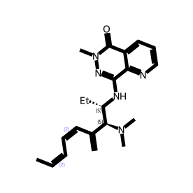 C=C(/C=C\C=C/C)[C@@H]([C@H](CC)Nc1nn(C)c(=O)c2cccnc12)N(C)C